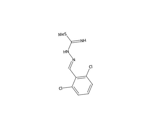 CSC(=N)N/N=C/c1c(Cl)cccc1Cl